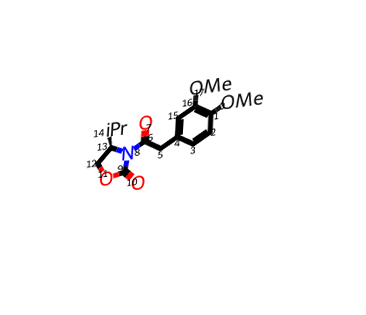 COc1ccc(CC(=O)N2C(=O)OC[C@H]2C(C)C)cc1OC